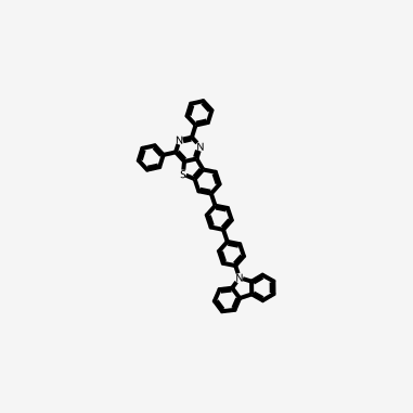 c1ccc(-c2nc(-c3ccccc3)c3sc4cc(-c5ccc(-c6ccc(-n7c8ccccc8c8ccccc87)cc6)cc5)ccc4c3n2)cc1